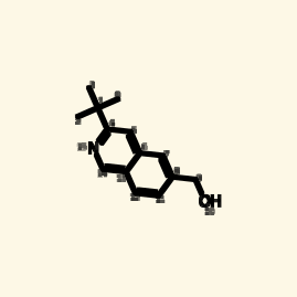 CC(C)(C)c1cc2cc(CO)ccc2cn1